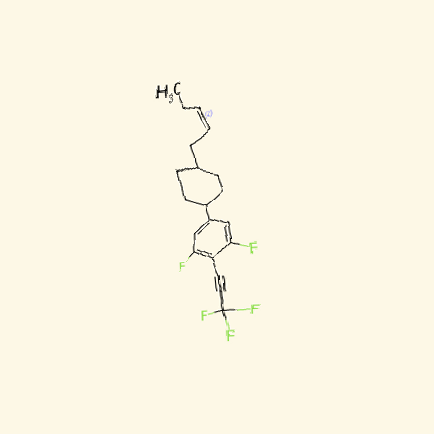 CC/C=C\CC1CCC(c2cc(F)c(C#CC(F)(F)F)c(F)c2)CC1